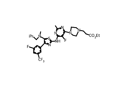 CCOC(=O)CCN1CCN(c2nc(C)nc(Nc3nc(-c4cc(F)cc(C(F)(F)F)c4)c(N(C)CC(C)C)s3)c2F)CC1